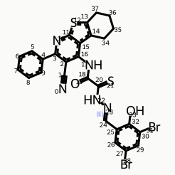 N#Cc1c(-c2ccccc2)nc2sc3c(c2c1NC(=O)C(=S)N/N=C/c1cc(Br)cc(Br)c1O)CCCC3